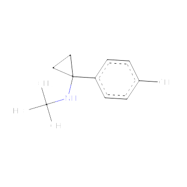 Cc1ccc(C2(NC(C)(C)C)CC2)cc1